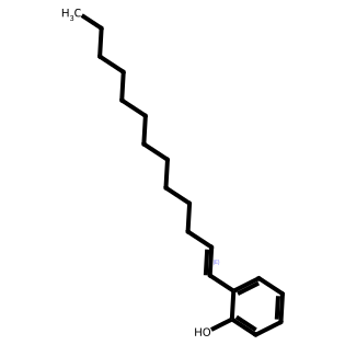 CCCCCCCCCCC/C=C/c1ccccc1O